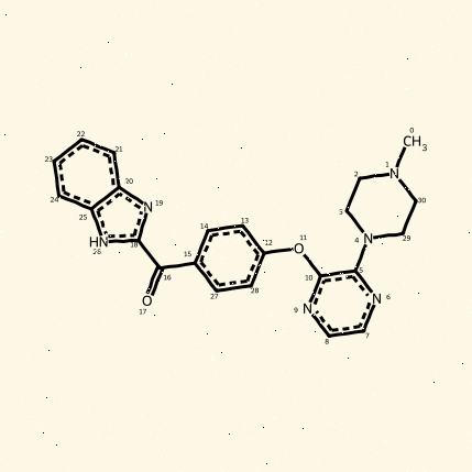 CN1CCN(c2nccnc2Oc2ccc(C(=O)c3nc4ccccc4[nH]3)cc2)CC1